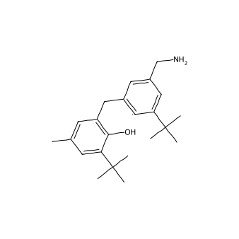 Cc1cc(Cc2[c]c(C(C)(C)C)cc(CN)c2)c(O)c(C(C)(C)C)c1